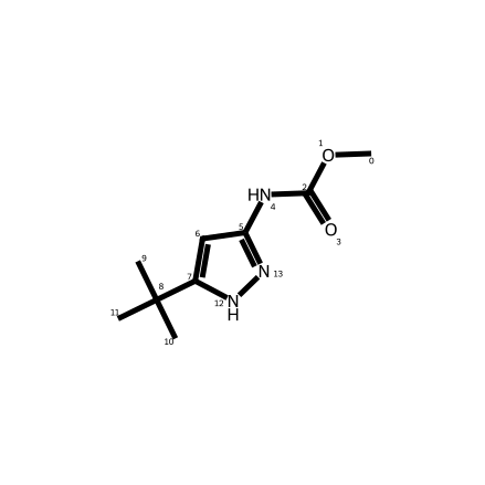 COC(=O)Nc1cc(C(C)(C)C)[nH]n1